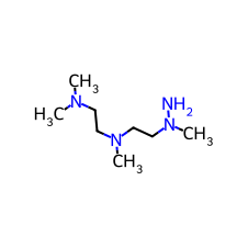 CN(C)CCN(C)CCN(C)N